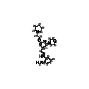 Cc1ccc(N)c(NN=Cc2cc(N3CCOCC3)nc(OCCN3CCCCC3)n2)c1